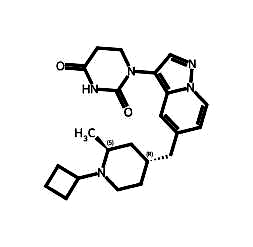 C[C@H]1C[C@H](Cc2ccn3ncc(N4CCC(=O)NC4=O)c3c2)CCN1C1CCC1